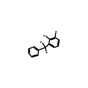 Brc1cccc(C(Br)(Br)c2ccccc2)c1Br